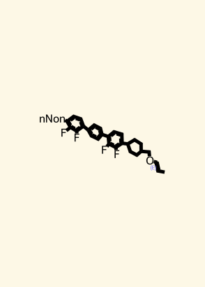 C/C=C/OCC1CCC(c2ccc(-c3ccc(-c4ccc(CCCCCCCCC)c(F)c4F)cc3)c(F)c2F)CC1